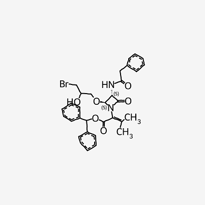 CC(C)=C(C(=O)OC(c1ccccc1)c1ccccc1)N1C(=O)[C@@H](NC(=O)Cc2ccccc2)[C@@H]1OCC(O)CBr